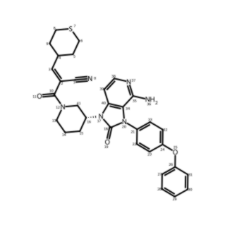 N#CC(=CC1CCSCC1)C(=O)N1CCC[C@@H](n2c(=O)n(-c3ccc(Oc4ccccc4)cc3)c3c(N)nccc32)C1